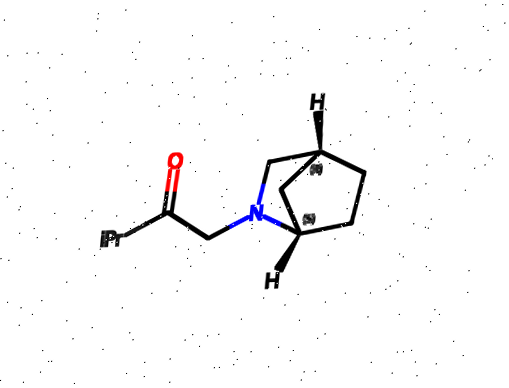 CC(C)C(=O)CN1C[C@@H]2CC[C@H]1C2